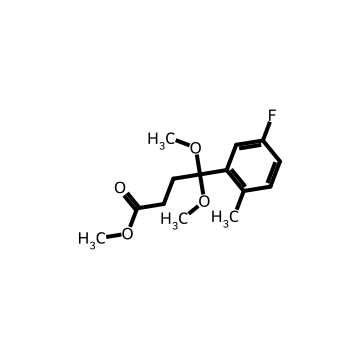 COC(=O)CCC(OC)(OC)c1cc(F)ccc1C